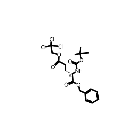 CC(C)(C)OC(=O)N[C@@H](CCC(=O)OCC(Cl)(Cl)Cl)C(=O)OCc1ccccc1